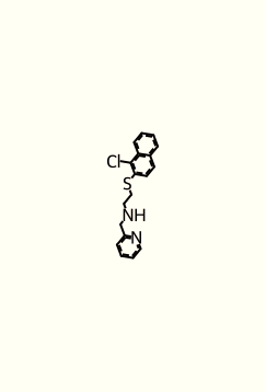 Clc1c(SCCNCc2ccccn2)ccc2ccccc12